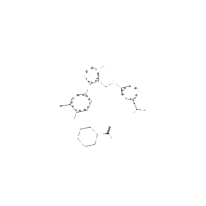 Cc1nc(-c2nnn(C)c2CNc2nnc(C(C)C)o2)ccc1O[C@H]1CCC[C@H](C(=O)O)C1